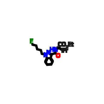 CCOC(=O)[C@@H](NC(=O)c1nn(CCCCCF)c2ccccc12)C(C)C